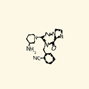 N#Cc1ccccc1Cn1c(N2CCCC(N)C2)nn2ccnc2c1=O